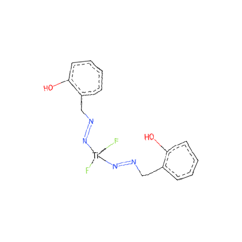 Oc1ccccc1CN=[N][Ti]([F])([F])[N]=NCc1ccccc1O